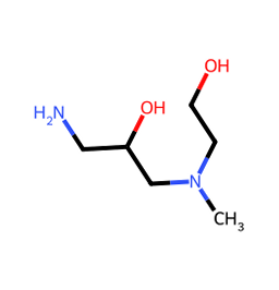 CN(CCO)CC(O)CN